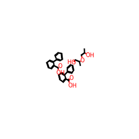 CC(O)COC(C)CO.O=C(O)c1ccccc1-c1ccccc1.O=C(O)c1ccccc1-c1ccccc1